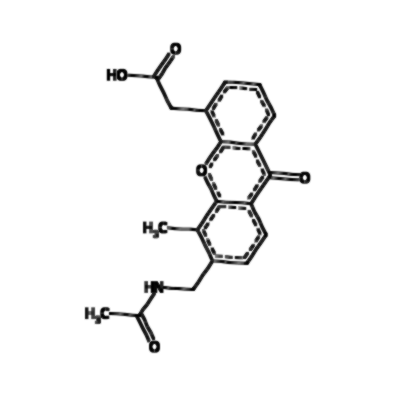 CC(=O)NCc1ccc2c(=O)c3cccc(CC(=O)O)c3oc2c1C